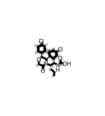 CCC[C@@H](CNC(=O)O)N1C(=O)CO[C@@H](c2ccc(Cl)cc2)[C@H]1c1ccc(Cl)cc1